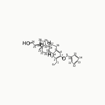 CCc1cc2c(cc1OCc1ccccc1)CC[C@@H]1[C@@H]2CC[C@]2(C)/C(=C/CO)CC[C@@H]12